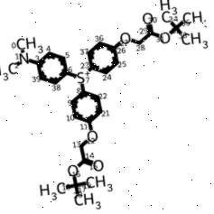 CN(C)c1ccc([S+](c2ccc(OCC(=O)OC(C)(C)C)cc2)c2ccc(OCC(=O)OC(C)(C)C)cc2)cc1